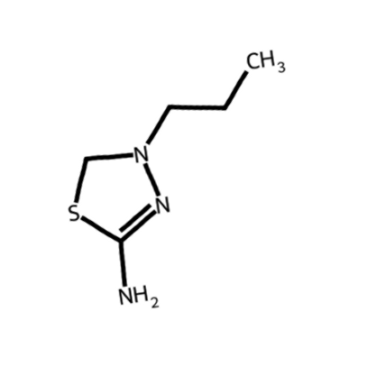 CCCN1CSC(N)=N1